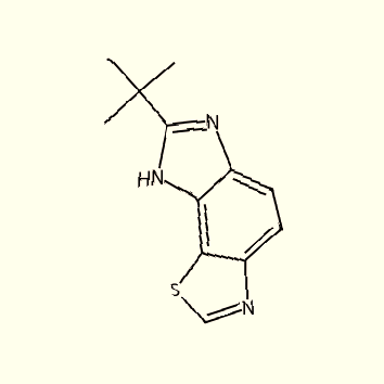 CC(C)(C)c1nc2ccc3ncsc3c2[nH]1